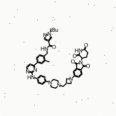 Cc1cc(-c2ccnc(Nc3ccc(N4CCN(CC5CN(c6ccc7c(c6)C(=O)N(C6CCC(=O)NC6=O)C7=O)C5)CC4)cc3)n2)ccc1CNC(=O)c1cnn(C(C)(C)C)c1